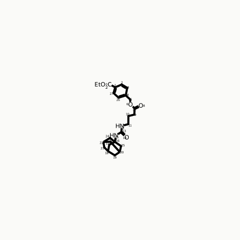 CCOC(=O)c1ccc(COC(=O)CCCNC(=O)NC23CC4CC(CC(C4)C2)C3)cc1